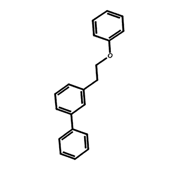 c1ccc(OCCc2cccc(-c3ccccc3)c2)cc1